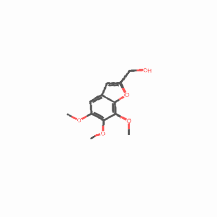 COc1cc2cc(CO)oc2c(OC)c1OC